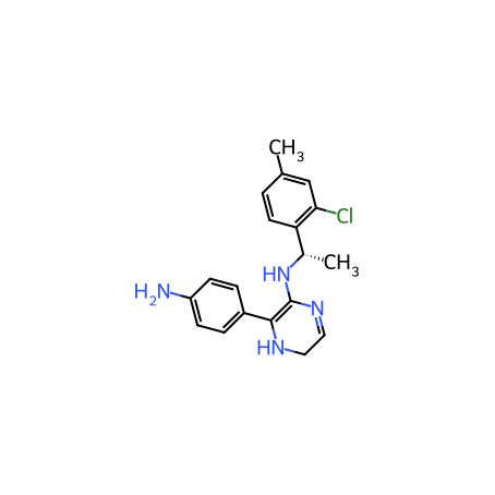 Cc1ccc([C@H](C)NC2=C(c3ccc(N)cc3)NCC=N2)c(Cl)c1